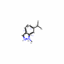 C\C=C(/C=c1\c(=C/C)cnn1C)C(C)C